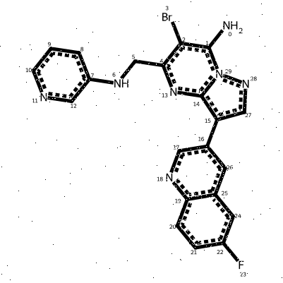 Nc1c(Br)c(CNc2cccnc2)nc2c(-c3cnc4ccc(F)cc4c3)cnn12